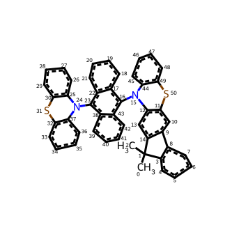 CC1(C)c2ccccc2-c2cc3c(cc21)N(c1c2ccccc2c(N2c4ccccc4Sc4ccccc42)c2ccccc12)c1ccccc1S3